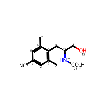 Cc1cc(C#N)cc(C)c1C[C@@H](CO)NC(=O)O